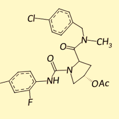 CC(=O)O[C@H]1CC(C(=O)N(C)Cc2ccc(Cl)cc2)N(C(=O)Nc2ccc(Cl)cc2F)C1